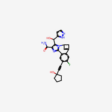 NC(=O)c1nc2n(c1C(O)c1ccn[nH]1)C1C=C(C1)c1cc(F)c(C#CC3(O)CCCC3)cc1-2